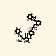 O=C(Cc1ccccc1-c1nc2ccccc2s1)Nc1ccc(C[C@@H]2CC[C@H]([C@H](O)COc3ccccc3)N2)cc1